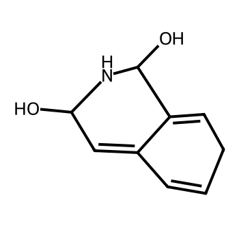 OC1C=C2C=CCC=C2C(O)N1